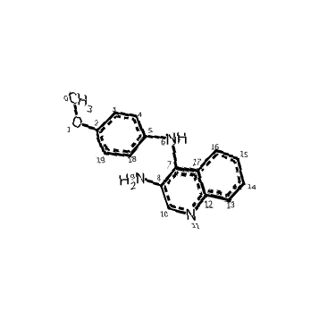 COc1ccc(Nc2c(N)cnc3ccccc23)cc1